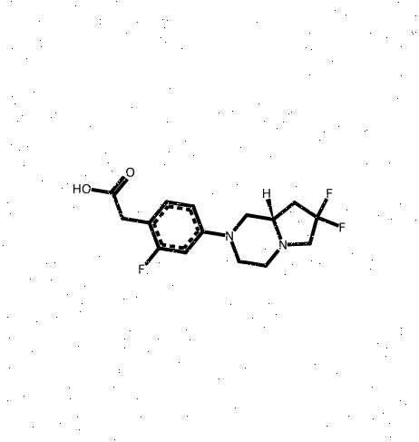 O=C(O)Cc1ccc(N2CCN3CC(F)(F)C[C@H]3C2)cc1F